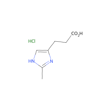 Cc1nc(CCC(=O)O)c[nH]1.Cl